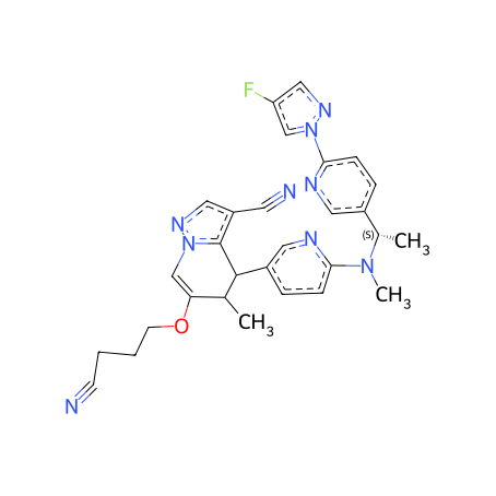 CC1C(OCCCC#N)=Cn2ncc(C#N)c2C1c1ccc(N(C)[C@@H](C)c2ccc(-n3cc(F)cn3)nc2)nc1